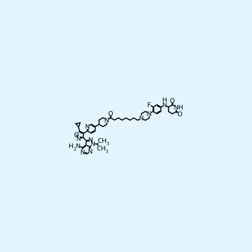 CC(C)n1nc(-c2noc(C3CC3)c2-c2ccc(C3CCN(C(=O)CCCCCCCN4CCN(c5ccc(NC6CCC(=O)NC6=O)cc5F)CC4)CC3)cn2)c2c(N)ncnc21